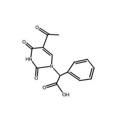 CC(=O)c1cn(C(C(=O)O)c2ccccc2)c(=O)[nH]c1=O